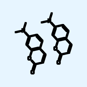 CN(C)c1ccc2ccc(=O)oc2c1.CN(C)c1ccc2ccc(=O)oc2c1